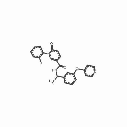 CC(NC(=O)c1ccc(=O)n(-c2ccccc2F)n1)c1cccc(Oc2ccncc2)c1